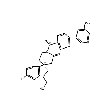 COc1cncc(-c2ccc([C@H](C)N3CC[C@](CCCO)(c4ccc(F)cc4)CC3=O)cc2)c1